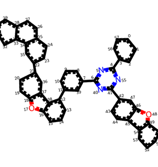 c1ccc(-c2nc(-c3cccc(-c4cccc5oc6ccc(-c7ccc8ccc9ccccc9c8c7)cc6c45)c3)nc(-c3ccc4c(c3)oc3ccccc34)n2)cc1